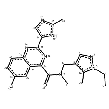 CCn1ncc(CN(C)C(=O)c2nc(-c3cnc(C)[nH]3)nc3ccc(Cl)cc23)c1C